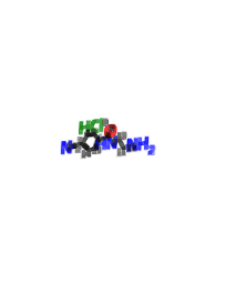 Cl.N#Cc1ccc(C(=O)NCCN)cc1